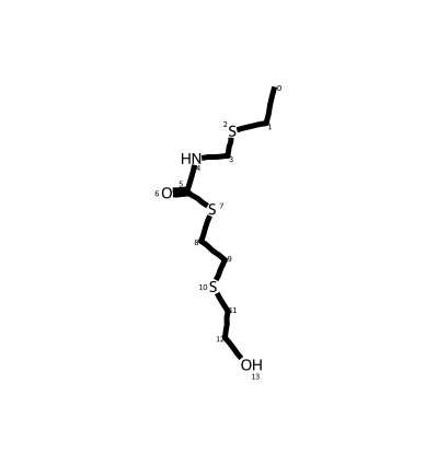 CCSCNC(=O)SCCSCCO